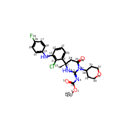 CC(C)(C)OC(=O)N=C1N[C@](C)(c2cccc(Nc3ccc(F)cc3)c2Cl)CC(=O)N1C1CCOCC1